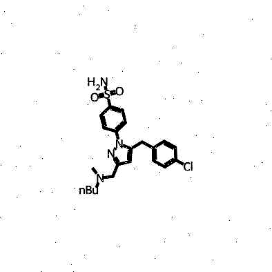 CCCCN(C)Cc1cc(Cc2ccc(Cl)cc2)n(-c2ccc(S(N)(=O)=O)cc2)n1